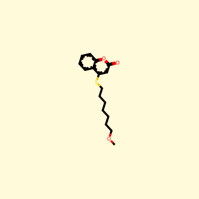 COCCCCCCCSc1cc(=O)oc2ccccc12